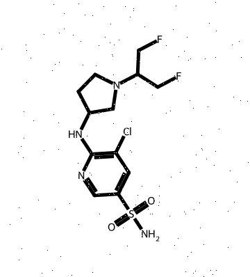 NS(=O)(=O)c1cnc(NC2CCN(C(CF)CF)C2)c(Cl)c1